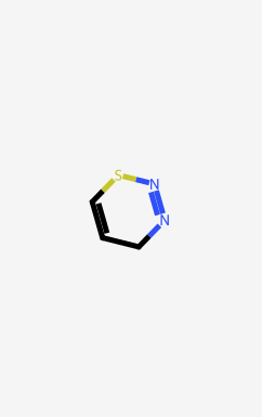 C1=CSN=NC1